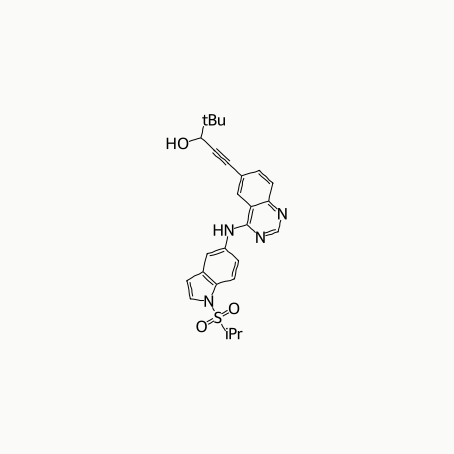 CC(C)S(=O)(=O)n1ccc2cc(Nc3ncnc4ccc(C#CC(O)C(C)(C)C)cc34)ccc21